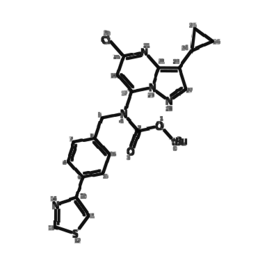 CC(C)(C)OC(=O)N(Cc1ccc(-c2cscn2)cc1)c1cc(Cl)nc2c(C3CC3)cnn12